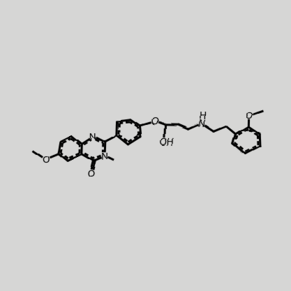 COc1ccc2nc(-c3ccc(OC(O)CCNCCc4ccccc4OC)cc3)n(C)c(=O)c2c1